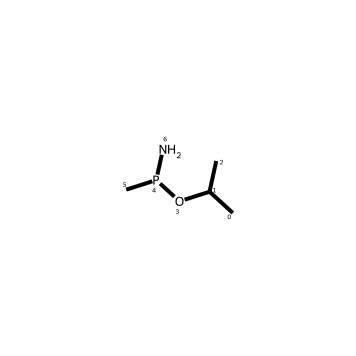 CC(C)OP(C)N